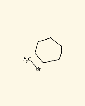 C1CCCCC1.FC(F)(F)Br